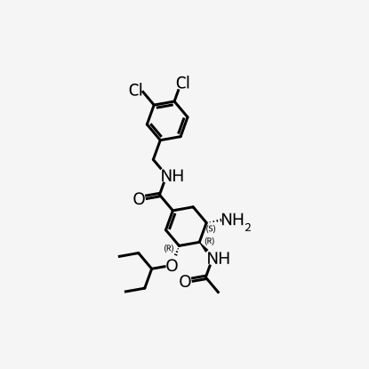 CCC(CC)O[C@@H]1C=C(C(=O)NCc2ccc(Cl)c(Cl)c2)C[C@H](N)[C@H]1NC(C)=O